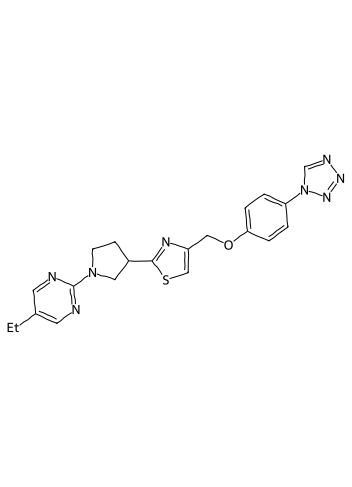 CCc1cnc(N2CCC(c3nc(COc4ccc(-n5cnnn5)cc4)cs3)C2)nc1